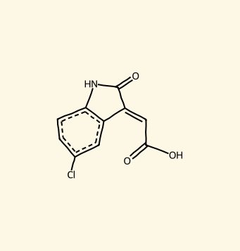 O=C(O)/C=C1/C(=O)Nc2ccc(Cl)cc21